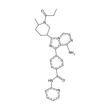 CCC(=O)N1CC(c2nc(-c3ccc(C(=O)Nc4ccccn4)cc3)c3c(N)nccn23)CCC1C